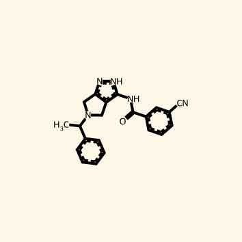 CC(c1ccccc1)N1Cc2n[nH]c(NC(=O)c3cccc(C#N)c3)c2C1